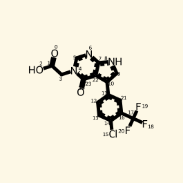 O=C(O)Cn1cnc2[nH]cc(-c3ccc(Cl)c(C(F)(F)F)c3)c2c1=O